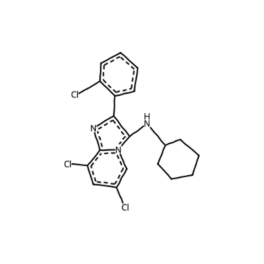 Clc1cc(Cl)c2nc(-c3ccccc3Cl)c(NC3CCCCC3)n2c1